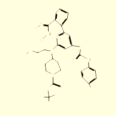 COCCN(c1cc(NC(=O)Nc2ccc(C)cc2)cc(-c2ccccc2/C(=N/N)NN)n1)C1CCN(C(=O)OC(C)(C)C)CC1